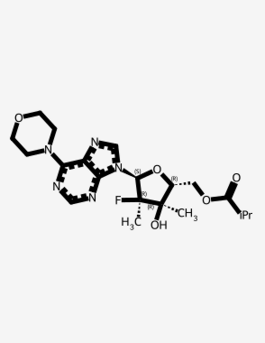 CC(C)C(=O)OC[C@H]1O[C@H](n2cnc3c(N4CCOCC4)ncnc32)[C@](C)(F)[C@]1(C)O